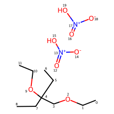 CCOCC(CC)(CC)OCC.O=[N+]([O-])O.O=[N+]([O-])O